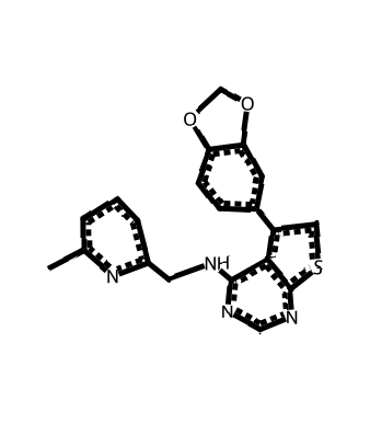 Cc1cccc(CNc2n[c]nc3scc(-c4ccc5c(c4)OCO5)c23)n1